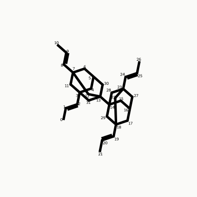 CC=CC12CC3CC(C=CC)(C1)CC(C14CC5CC(C=CC)(CC(C=CC)(C5)C1)C4)(C3)C2